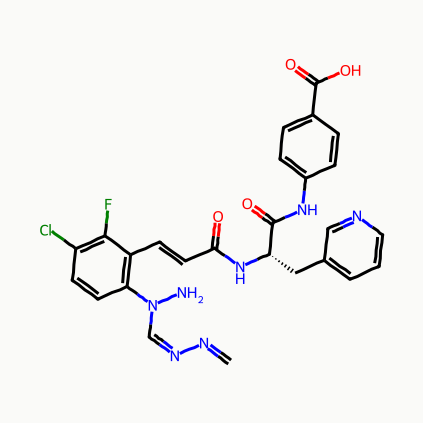 C=N/N=C\N(N)c1ccc(Cl)c(F)c1/C=C/C(=O)N[C@@H](Cc1cccnc1)C(=O)Nc1ccc(C(=O)O)cc1